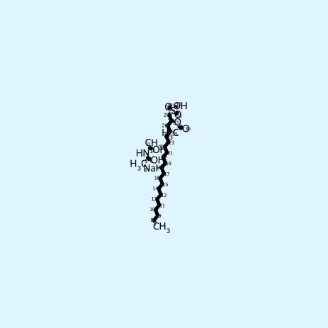 CC(O)NC(C)O.CCCCCCCCCCCCCCCCCCCCC(CS(=O)(=O)O)OC(C)=O.[NaH]